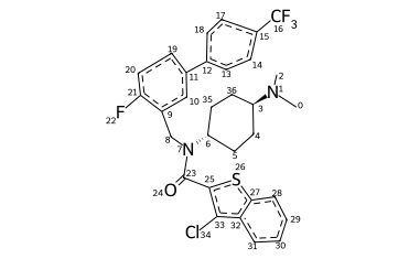 CN(C)[C@H]1CC[C@H](N(Cc2cc(-c3ccc(C(F)(F)F)cc3)ccc2F)C(=O)c2sc3ccccc3c2Cl)CC1